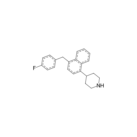 Fc1ccc(Cc2ccc(C3CCNCC3)c3ccccc23)cc1